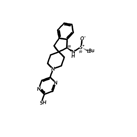 CC(C)(C)[S@@+]([O-])N[C@@H]1c2ccccc2CC12CCN(c1cnc(S)cn1)CC2